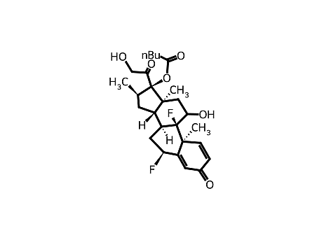 CCCCC(=O)O[C@]1(C(=O)CO)[C@H](C)C[C@H]2[C@@H]3C[C@H](F)C4=CC(=O)C=C[C@]4(C)[C@@]3(F)C(O)C[C@@]21C